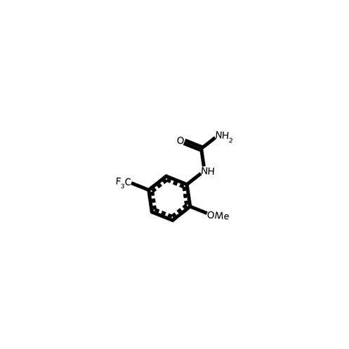 COc1ccc(C(F)(F)F)cc1NC(N)=O